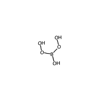 OOB(O)OO